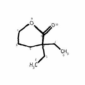 CCC1(CC)CCCOC1=O